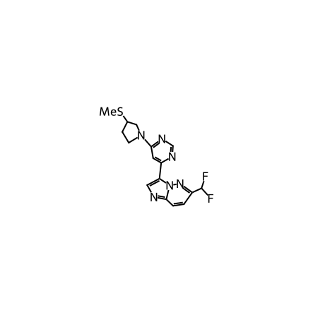 CSC1CCN(c2cc(-c3cnc4ccc(C(F)F)nn34)ncn2)C1